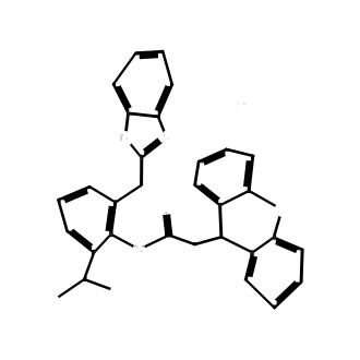 CC(C)c1cccc(Cc2nc3ccccc3[nH]2)c1NC(=O)CC1c2ccccc2Oc2ccccc21.Cl